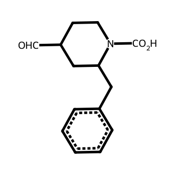 O=CC1CCN(C(=O)O)C(Cc2ccccc2)C1